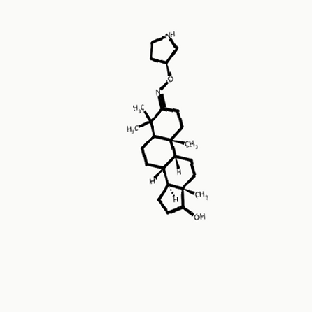 CC1(C)/C(=N/O[C@H]2CCNC2)CC[C@@]2(C)C1CC[C@@H]1[C@H]2CC[C@]2(C)C(O)CC[C@@H]12